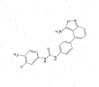 Cc1ccc(NC(=O)Nc2ccc(-c3cccc4noc(N)c34)cc2)cc1Cl